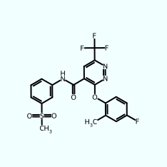 Cc1cc(F)ccc1Oc1nnc(C(F)(F)F)cc1C(=O)Nc1cccc(S(C)(=O)=O)c1